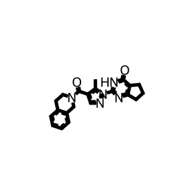 Cc1c(C(=O)N2CCc3ccccc3C2)cnn1-c1nc2c(c(=O)[nH]1)CCC2